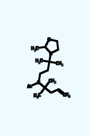 C=CCC(C)(C)N(CCC(C)(C)N1CCOC1C)C(C)=O